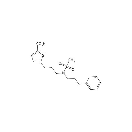 CS(=O)(=O)N(CCCc1ccccc1)CCCc1ccc(C(=O)O)s1